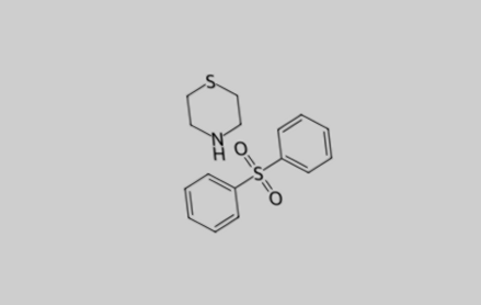 C1CSCCN1.O=S(=O)(c1ccccc1)c1ccccc1